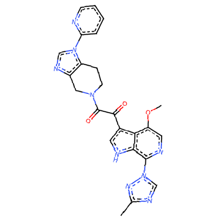 COc1cnc(-n2cnc(C)n2)c2[nH]cc(C(=O)C(=O)N3CCc4c(ncn4-c4ccccn4)C3)c12